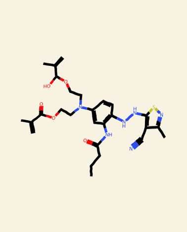 C=C(C)C(=O)OCCN(CCOC(O)C(=C)C)c1ccc(NNc2snc(C)c2C#N)c(NC(=O)CCC)c1